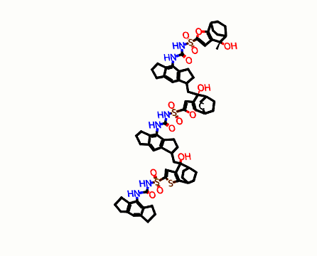 C[C@@]1(O)c2cc(S(=O)(=O)NC(=O)Nc3c4c(cc5c3CCC5C[C@]3(O)c5cc(S(=O)(=O)NC(=O)Nc6c7c(cc8c6CCC8CC6(O)c8cc(S(=O)(=O)NC(=O)Nc9c%10c(cc%11c9CCC%11)CCC%10)sc8C8CCC6CC8)CCC7)oc5C5CCC3CC5)CCC4)oc2C2CCC1CC2